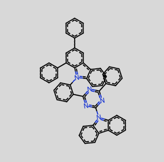 c1ccc(-c2cc(-c3ccccc3)c3c(c2)c2ccccc2n3-c2ccccc2-c2nc(-c3ccccc3)nc(-n3c4ccccc4c4ccccc43)n2)cc1